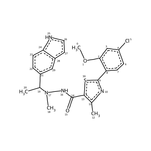 COc1cc(Cl)ccc1-c1nc(C)c(C(=O)NN(C)C(C)c2ccc3[nH]ccc3c2)s1